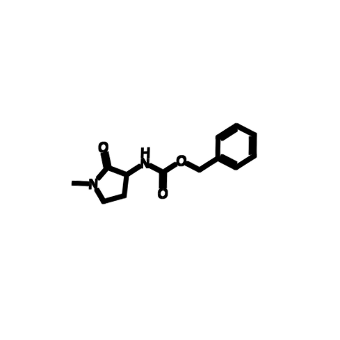 CN1CCC(NC(=O)OCc2ccccc2)C1=O